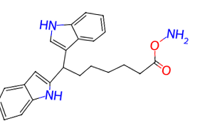 NOC(=O)CCCCCC(c1cc2ccccc2[nH]1)c1c[nH]c2ccccc12